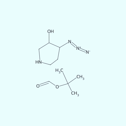 CC(C)(C)OC=O.[N-]=[N+]=NC1CCNCC1O